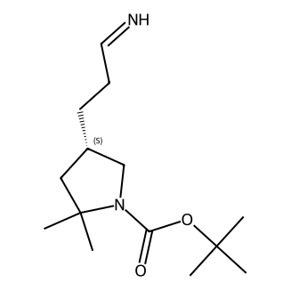 CC(C)(C)OC(=O)N1C[C@@H](CCC=N)CC1(C)C